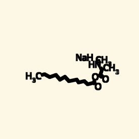 CCCCCCCCCCCC(=O)OC(=O)[C@H](C)NC.[NaH]